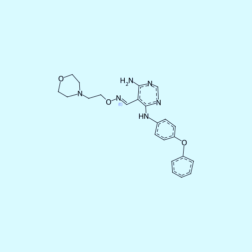 Nc1ncnc(Nc2ccc(Oc3ccccc3)cc2)c1/C=N/OCCN1CCOCC1